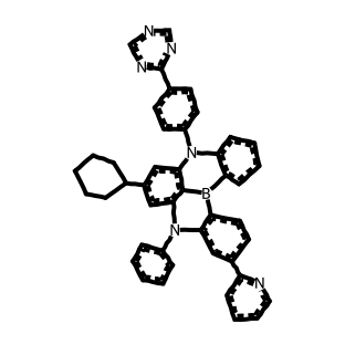 c1ccc(N2c3cc(-c4ccccn4)ccc3B3c4ccccc4N(c4ccc(-c5ncncn5)cc4)c4cc(C5CCCCC5)cc2c43)cc1